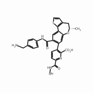 CCCNC(=O)c1ccc(-c2cc3c(cc2C(=O)Nc2ccc(CN)cc2)-c2sccc2C[C@H](C)O3)c(C(=O)O)n1